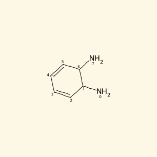 N[C]1C=C[C]=CC1N